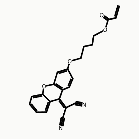 C=CC(=O)OCCCCOc1ccc2c(c1)Oc1ccccc1C2=C(C#N)C#N